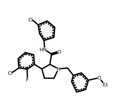 CCOc1cccc(CN2CCC(c3cccc(Cl)c3F)C2C(=O)Nc2cccc(Cl)c2)c1